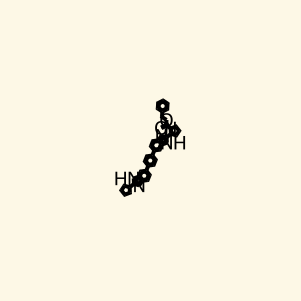 O=C(OCc1ccccc1)N1CCCC1c1nc2ccc(-c3ccc(-c4ccc5nc(C6CCCC6)[nH]c5c4)cc3)cc2[nH]1